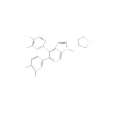 N#Cc1ccc(-c2ncc3c(ccn3C[C@@H]3CCNC3)c2-c2ccc(C#N)c(F)c2)cc1F